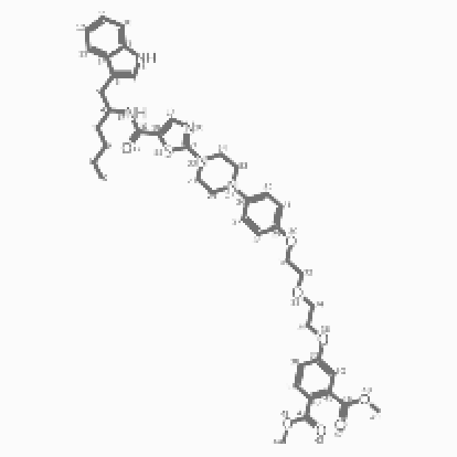 CCCCC(Cc1c[nH]c2ccccc12)NC(=O)c1cnc(N2CCN(c3ccc(OCCOCCOc4ccc(C(=O)OC)c(C(=O)OC)c4)cc3)CC2)s1